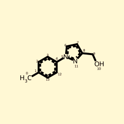 Cc1ccc(-n2ccc(CO)n2)cc1